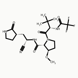 CO[C@@H]1CCN(C(=O)[C@@H](NC(=O)C(F)(F)F)C(C)(C)C)[C@H]1C(=O)N[C@H](C#N)C[C@@H]1CCNC1=O